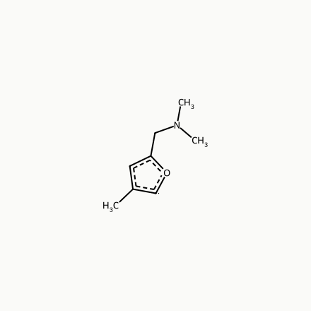 Cc1[c]oc(CN(C)C)c1